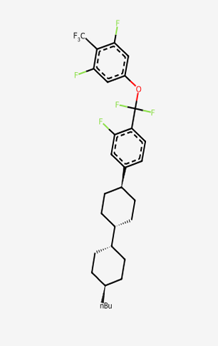 CCCC[C@H]1CC[C@H]([C@H]2CC[C@H](c3ccc(C(F)(F)Oc4cc(F)c(C(F)(F)F)c(F)c4)c(F)c3)CC2)CC1